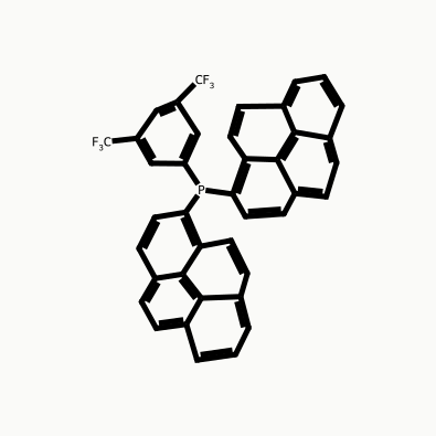 FC(F)(F)c1cc(P(c2ccc3ccc4cccc5ccc2c3c45)c2ccc3ccc4cccc5ccc2c3c45)cc(C(F)(F)F)c1